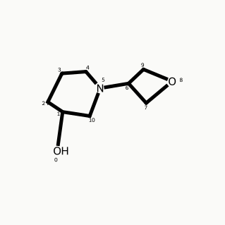 OC1[CH]CCN(C2COC2)C1